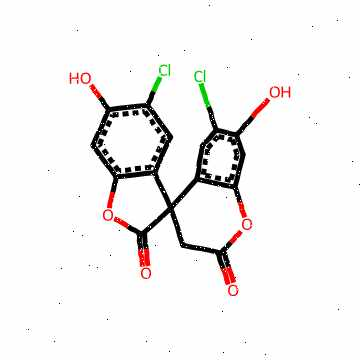 O=C1CC2(C(=O)Oc3cc(O)c(Cl)cc32)c2cc(Cl)c(O)cc2O1